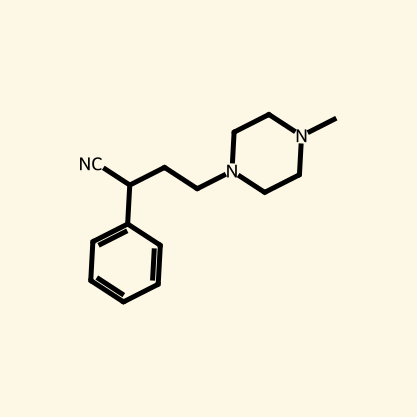 CN1CCN(CCC(C#N)c2ccccc2)CC1